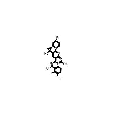 Cc1nc(N[C@H](C)c2cccc(C(F)(F)F)c2F)c2cc(C3(C#N)CC3)c(N3CCN(C(C)C)CC3)nc2n1